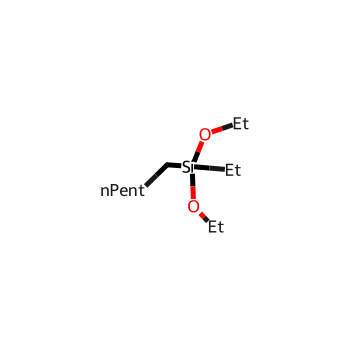 CCCCCC[Si](CC)(OCC)OCC